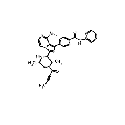 CC#CC(=O)N1C[C@H](C)NC(c2nc(-c3ccc(C(=O)Nc4ccccn4)cc3)c3c(N)nccn23)[C@@H]1C